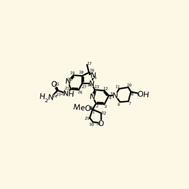 CO[C@]1(c2cc(N3CCC(O)CC3)cc(-n3nc(C)c4cnc(NC(N)=O)cc43)n2)CCOC1